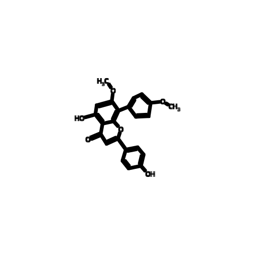 COc1ccc(-c2c(OC)cc(O)c3c(=O)cc(-c4ccc(O)cc4)oc23)cc1